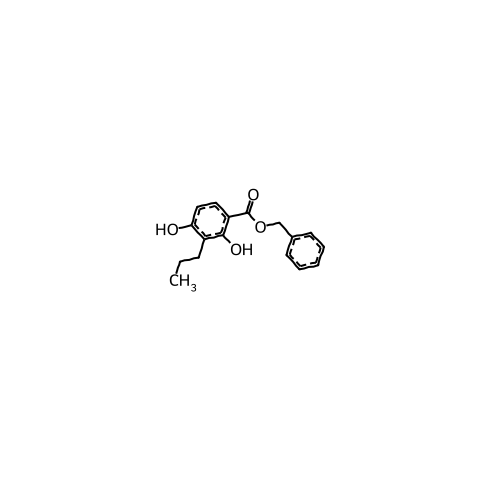 CCCc1c(O)ccc(C(=O)OCc2ccccc2)c1O